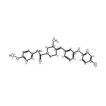 COc1ccc(NC(=O)N2CC/C(=C\c3cccc(Oc4ccc(Cl)cn4)c3)C(C)C2)cn1